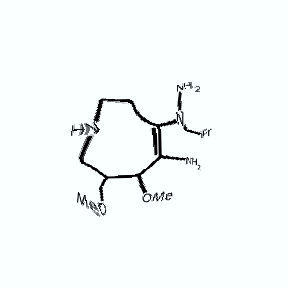 COC1CNCC/C(N(N)C(C)C)=C(/N)C1OC